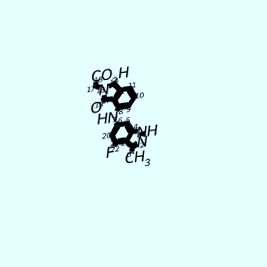 Cc1n[nH]c2cc(Nc3cccc4c3C(=O)N(CC(=O)O)C4)cc(F)c12